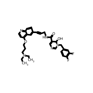 CCN(CC)CCCOc1ccnc2ccc(C#CCNC(=O)C3=CN=CN(Cc4ccc(F)c(F)c4)C3O)cc12